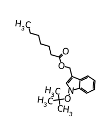 CCCCCCC(=O)OCc1cn(OC(C)(C)C)c2ccccc12